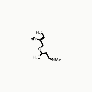 C/C=C(\CCC)COC(C)CCNC